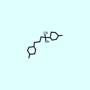 CCCC(C#N)(CCCC1CCC(C)CC1)C1CCC(C)CC1